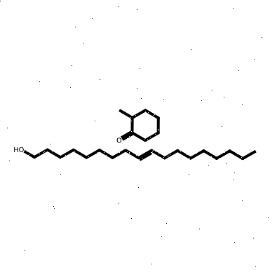 CC1CCCCC1=O.CCCCCCCCC=CCCCCCCCCO